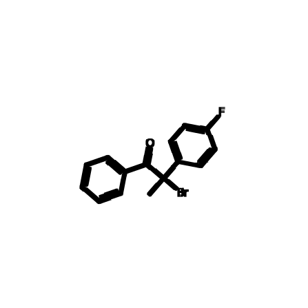 CC(Br)(C(=O)c1ccccc1)c1ccc(F)cc1